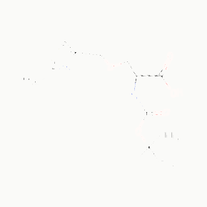 Cc1nc(COCC(NC(=O)OC(C)(C)C)C(=O)O)cs1